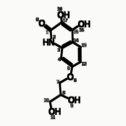 O=c1[nH]c2cc(OCC(O)CO)ccc2c(O)c1O